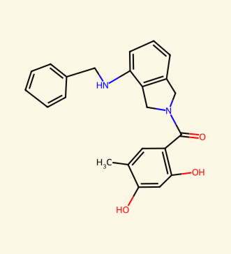 Cc1cc(C(=O)N2Cc3cccc(NCc4ccccc4)c3C2)c(O)cc1O